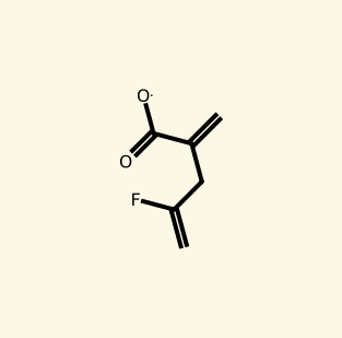 C=C(F)CC(=C)C([O])=O